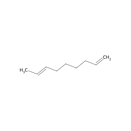 C=CCCCCC=CC